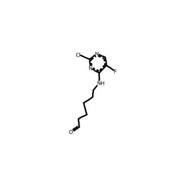 O=CCCCCCNc1nc(Cl)ncc1F